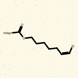 CC/C=C\CCCCCOC(=O)CCCCCCC